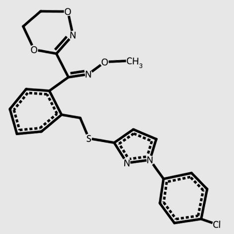 CO/N=C(\C1=NOCCO1)c1ccccc1CSc1ccn(-c2ccc(Cl)cc2)n1